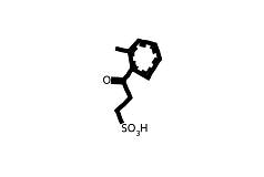 Cc1ccccc1C(=O)CCS(=O)(=O)O